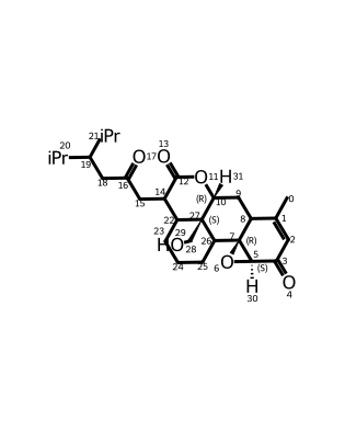 CC1=CC(=O)[C@H]2O[C@@]23C1C[C@H]1OC(=O)C(CC(=O)CC(C(C)C)C(C)C)C2CCCC3[C@]21CO